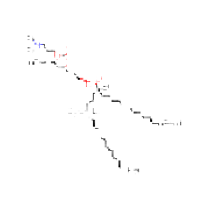 CCCCCC=CCC=CCCCCCCC(CC)(CCCC(CC)(CCCCCCC=CCC=CCCCCC)C(=O)OOCCCC(CCCCCCCCCCCC)OC(=O)OCCCN(CC)CC)C(=O)O